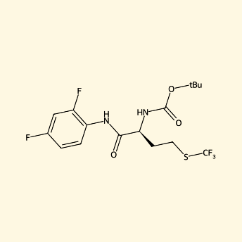 CC(C)(C)OC(=O)N[C@@H](CCSC(F)(F)F)C(=O)Nc1ccc(F)cc1F